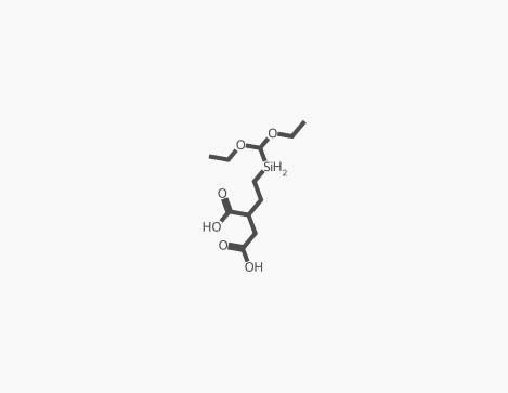 CCOC(OCC)[SiH2]CCC(CC(=O)O)C(=O)O